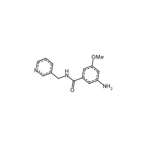 COc1cc(N)cc(C(=O)NCc2cccnc2)c1